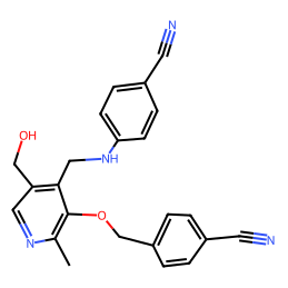 Cc1ncc(CO)c(CNc2ccc(C#N)cc2)c1OCc1ccc(C#N)cc1